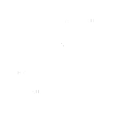 CC(C)CCCN1CCOC(C)C1